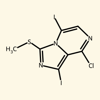 CSc1nc(I)c2c(Cl)ncc(I)n12